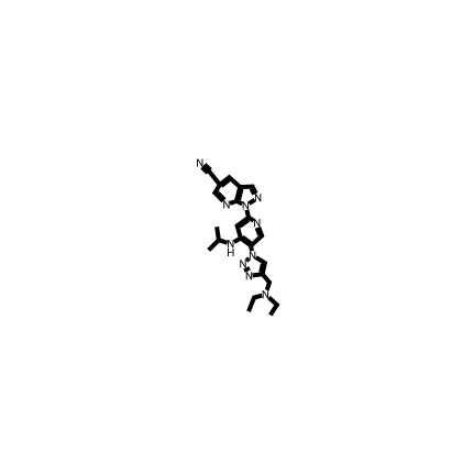 CCN(CC)Cc1cn(-c2cnc(-n3ncc4cc(C#N)cnc43)cc2NC(C)C)nn1